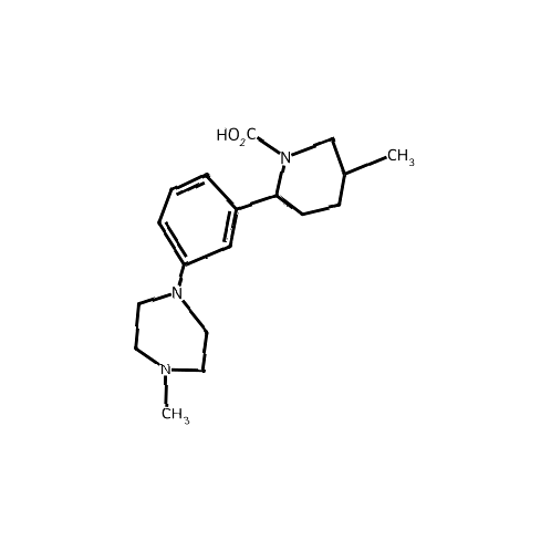 CC1CCC(c2cccc(N3CCN(C)CC3)c2)N(C(=O)O)C1